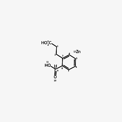 O=C(O)CCc1ccccc1[PH](=O)O.[Zn]